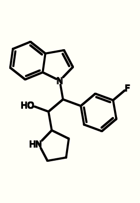 OC(C1CCCN1)C(c1cccc(F)c1)n1ccc2ccccc21